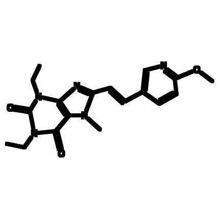 CCn1c(=O)c2c(nc(C=Cc3ccc(OC)nc3)n2C)n(CC)c1=O